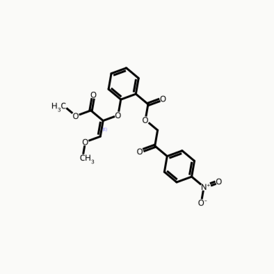 CO/C=C(/Oc1ccccc1C(=O)OCC(=O)c1ccc([N+](=O)[O-])cc1)C(=O)OC